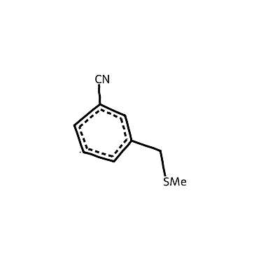 CSCc1c[c]cc(C#N)c1